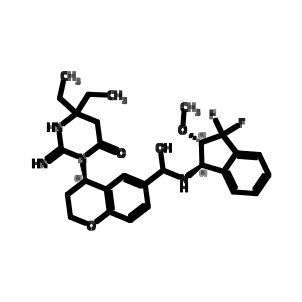 CCC1(CC)CC(=O)N([C@@H]2CCOc3ccc(C(O)N[C@@H]4c5ccccc5C(F)(F)[C@H]4OC)cc32)C(=N)N1